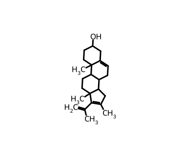 C=C(C)C1=C(C)CC2C3CC=C4CC(O)CCC4(C)C3CCC12C